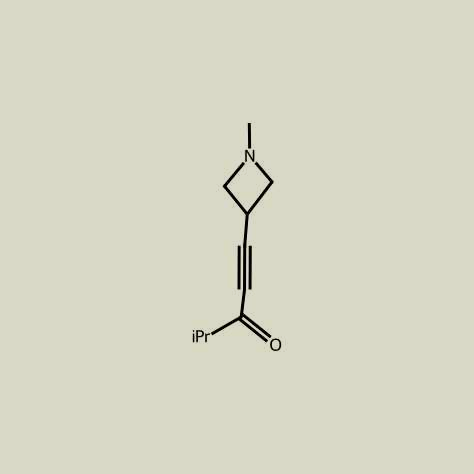 CC(C)C(=O)C#CC1CN(C)C1